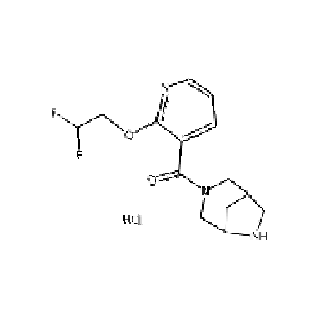 Cl.O=C(c1cccnc1OCC(F)F)N1CC2CNC(C2)C1